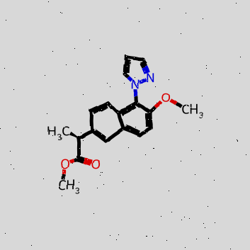 COC(=O)[C@@H](C)c1ccc2c(-n3cccn3)c(OC)ccc2c1